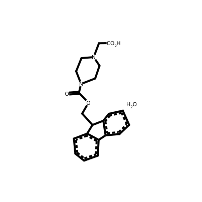 O.O=C(O)CN1CCN(C(=O)OCC2c3ccccc3-c3ccccc32)CC1